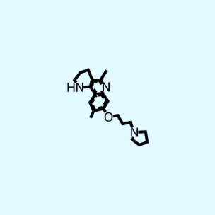 Cc1cc2c3c(c(C)nc2cc1OCCCN1CCCC1)CCCN3